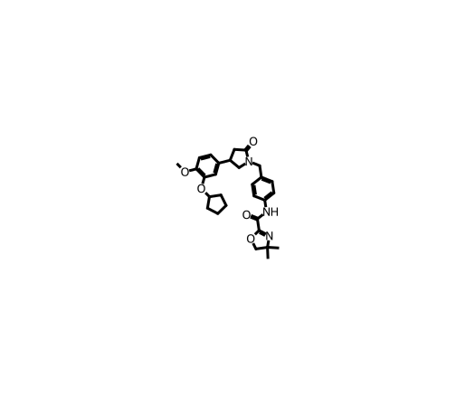 COc1ccc(C2CC(=O)N(Cc3ccc(NC(=O)C4=NC(C)(C)CO4)cc3)C2)cc1OC1CCCC1